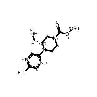 CC(C)(C)OC(=O)N1CCN(c2cnc(C(F)(F)F)cn2)[C@H](CO)C1